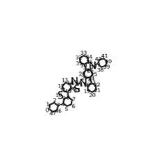 c1ccc(-c2cccc3c2sc2ccc4nc(-n5c6ccccc6c6cc7c(cc65)c5ccccc5n7-c5ccccc5)sc4c23)cc1